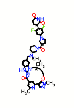 Cc1cc2cc(n1)-c1cnn(C)c1OCCC[C@@H](C)CN1/C(=N/C2=O)Nc2ccc(CN(C)[C@H]3CCCN(C(=O)[C@@H]4CCN(c5cc(F)c([C@H]6CCC(=O)NC6=O)c(F)c5)C4)C3)cc21